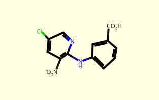 O=C(O)c1cccc(Nc2ncc(Cl)cc2[N+](=O)[O-])c1